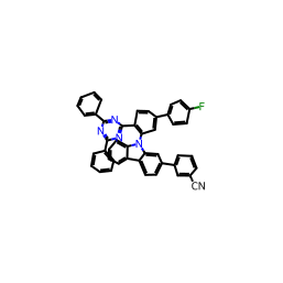 N#Cc1cccc(-c2ccc3c4ccccc4n(-c4cc(-c5ccc(F)cc5)ccc4-c4nc(-c5ccccc5)nc(-c5ccccc5)n4)c3c2)c1